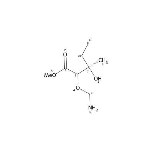 COC(=O)[C@@H](OCN)[C@](C)(O)CF